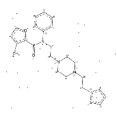 Cc1ccoc1C(=O)N(CCN1CCN(CCc2cccs2)CC1)c1ccccc1